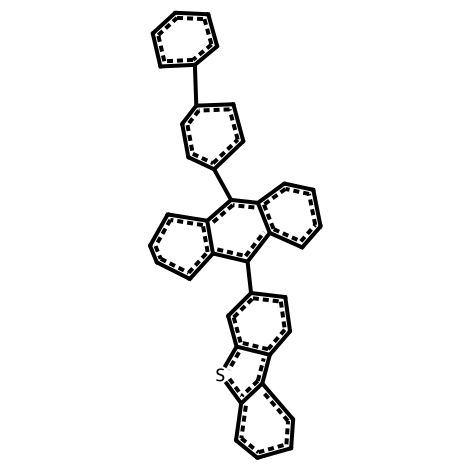 c1ccc(-c2ccc(-c3c4ccccc4c(-c4ccc5c(c4)sc4ccccc45)c4ccccc34)cc2)cc1